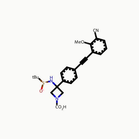 COc1c(C#N)cccc1C#Cc1ccc(C2(N[S+]([O-])C(C)(C)C)CN(C(=O)O)C2)cc1